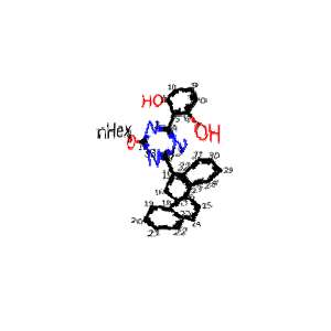 CCCCCCOc1nc(-c2c(O)cccc2O)nc(-c2cc3c4ccccc4ccc3c3ccccc23)n1